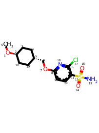 CO[C@H]1CC[C@H](COc2ccc(S(N)(=O)=O)c(Cl)n2)CC1